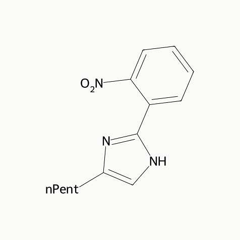 CCCCCc1c[nH]c(-c2ccccc2[N+](=O)[O-])n1